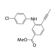 CC#Cc1ccc(C(=O)OC)cc1Nc1ccc(Cl)cc1